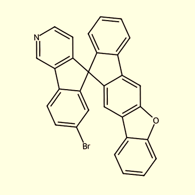 Brc1ccc2c(c1)C1(c3ccccc3-c3cc4oc5ccccc5c4cc31)c1ccncc1-2